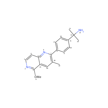 COc1nccc2nc(-c3ccc(C(C)(C)N)cc3)c(C)cc12